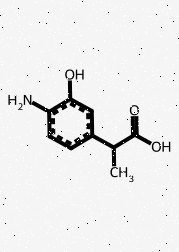 CC(C(=O)O)c1ccc(N)c(O)c1